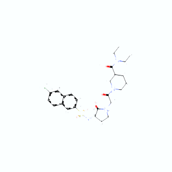 CCN(CC)C(=O)C1CCCN(C(=O)[C@H](C)N2CC[C@H](NS(=O)(=O)c3ccc4cc(Cl)ccc4c3)C2=O)C1